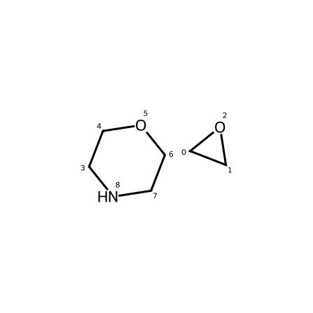 C1CO1.C1COCCN1